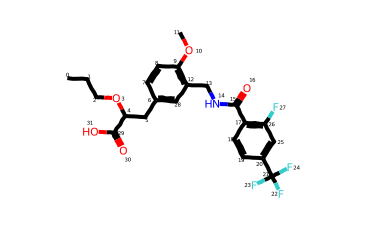 CCCOC(Cc1ccc(OC)c(CNC(=O)c2ccc(C(F)(F)F)cc2F)c1)C(=O)O